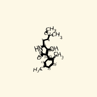 CO[C@@H](C)CCC1NC(=O)C(c2cc(C)ccc2C)=C1O